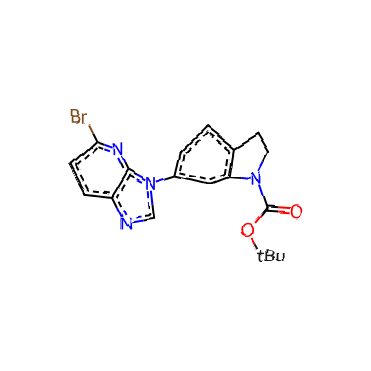 CC(C)(C)OC(=O)N1CCc2ccc(-n3cnc4ccc(Br)nc43)cc21